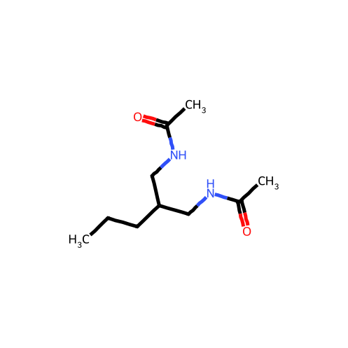 CCCC(CNC(C)=O)CNC(C)=O